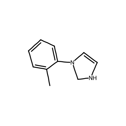 Cc1ccccc1N1C=CNC1